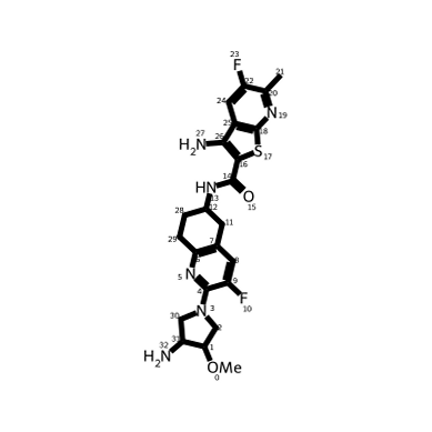 COC1CN(c2nc3c(cc2F)CC(NC(=O)c2sc4nc(C)c(F)cc4c2N)CC3)CC1N